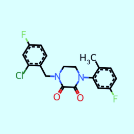 Cc1ccc(F)cc1N1CCN(Cc2ccc(F)cc2Cl)C(=O)C1=O